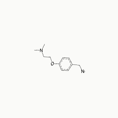 CN(C)CCOc1ccc(C[N])cc1